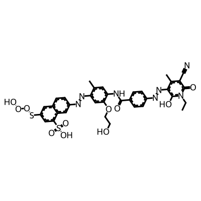 CCn1c(O)c(/N=N/c2ccc(C(=O)Nc3cc(C)c(/N=N/c4ccc5cc(SOOO)cc(S(=O)(=O)O)c5c4)cc3OCCO)cc2)c(C)c(C#N)c1=O